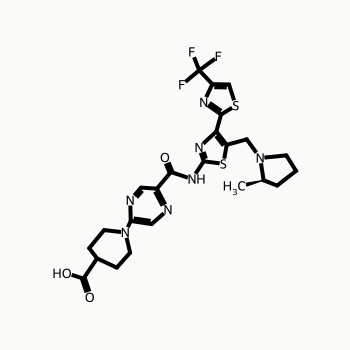 C[C@@H]1CCCN1Cc1sc(NC(=O)c2cnc(N3CCC(C(=O)O)CC3)cn2)nc1-c1nc(C(F)(F)F)cs1